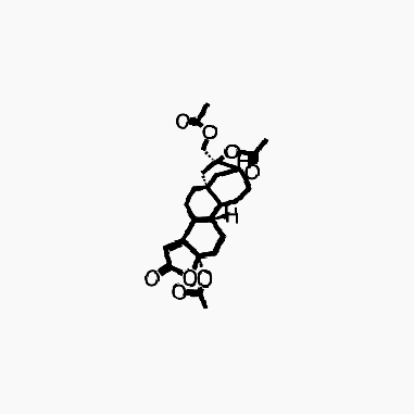 CC(=O)OC[C@@]1(OC(C)=O)C[C@@]23CCC4C5=CC(=O)O[C@]5(OC(C)=O)CC[C@H]4C2CC[C@@H]1C3